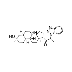 CC(C(=O)[C@H]1CC[C@H]2[C@@H]3CC[C@@H]4C[C@](C)(O)CC[C@@H]4[C@H]3CC[C@]12C)n1nnc2ccccc21